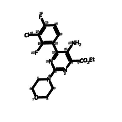 CCOC(=O)c1nc(N2CCOCC2)nc(-c2ccc(F)c(Cl)c2F)c1N